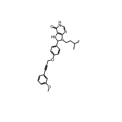 COc1cccc(C#CCOc2ccc(C3Nc4c(nc[nH]c4=O)N3CCC(F)F)cc2)c1